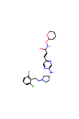 O=C(/C=C/c1cnc(N[C@@H]2CCN(CCc3c(F)cccc3F)C2)cn1)NOC1CCCCO1